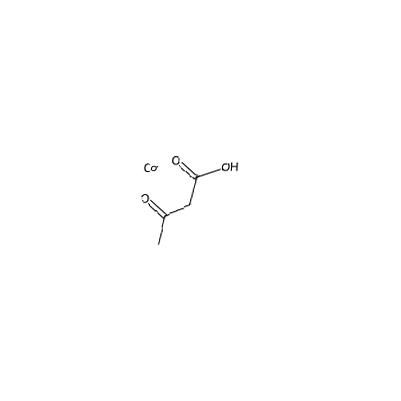 CC(=O)CC(=O)O.[Co]